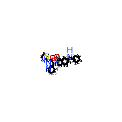 O=C(Nc1nccs1)C(c1ccccc1)N1Cc2ccc(Nc3ccccc3)cc2C1=O